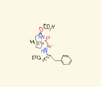 CCOC(=O)[C@H](CCc1ccccc1)N[C@@H](C)C(=O)[C@]12CCC[C@H]1C[C@H](OC(=O)O)N2